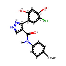 COc1ccc(N(C)C(=O)c2c[nH]nc2-c2cc(Cl)c(O)cc2O)cc1